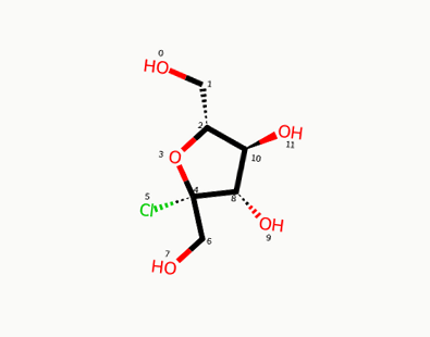 OC[C@H]1O[C@](Cl)(CO)[C@@H](O)[C@@H]1O